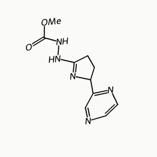 COC(=O)NNC1=NC(c2cnccn2)CC1